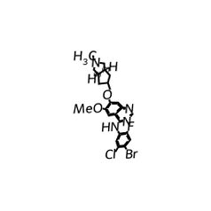 COc1cc2c(Nc3cc(Cl)c(Br)cc3F)ncnc2cc1OCC1C[C@H]2CN(C)C[C@@H]2C1